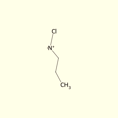 CCC[N+]Cl